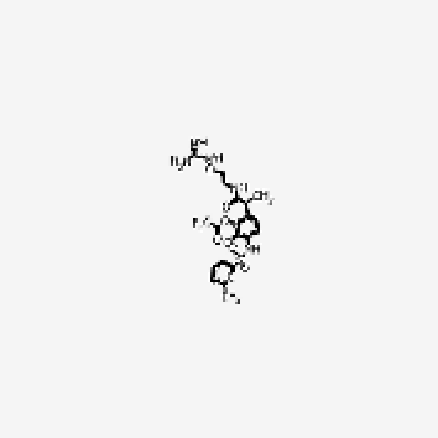 CC(C(=O)NCCONC(=N)N)c1ccc(NS(=O)(=O)c2cccc(C(F)(F)F)c2)c(=O)n1OC(=O)C(F)(F)F